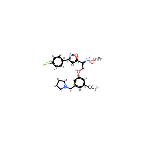 CCCO/N=C(\COc1cc(CN2CCCC2)cc(C(=O)O)c1)c1cc(-c2ccc(F)cc2)no1